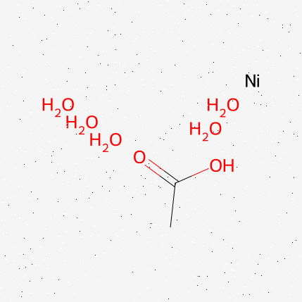 CC(=O)O.O.O.O.O.O.[Ni]